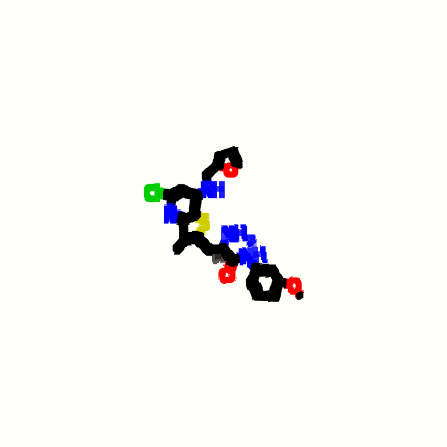 COc1cccc(NC(=O)[C@H](N)Cc2sc3c(NCc4ccco4)cc(Cl)nc3c2C)c1